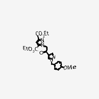 CCOC(=O)c1cc(C(=O)OCC)n(CC(=O)c2cnn(Cc3ccc(OC)cc3)c2)n1